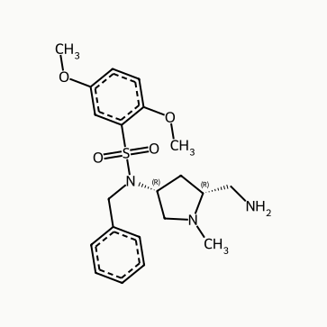 COc1ccc(OC)c(S(=O)(=O)N(Cc2ccccc2)[C@@H]2C[C@H](CN)N(C)C2)c1